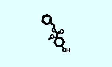 CO[C@]1(C(=O)OCc2ccccc2)CC[C@H](O)CC1